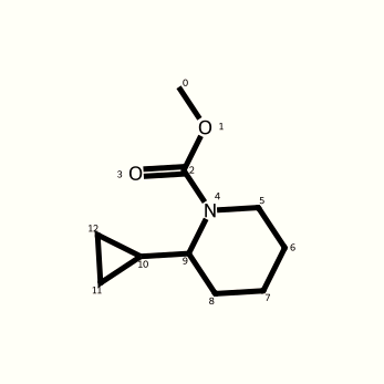 COC(=O)N1CCCCC1C1CC1